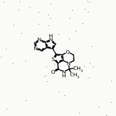 CC1(C)NC(=O)c2sc(-c3c[nH]c4ncncc34)c3c2N1CCO3